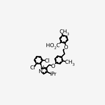 Cc1ccc(OCCc2ccc(OCc3c(C(C)C)cnn3-c3c(Cl)cccc3Cl)cc2C)c(C(=O)O)c1